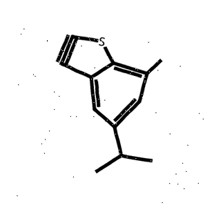 Cc1cc(C(C)C)cc2c#csc12